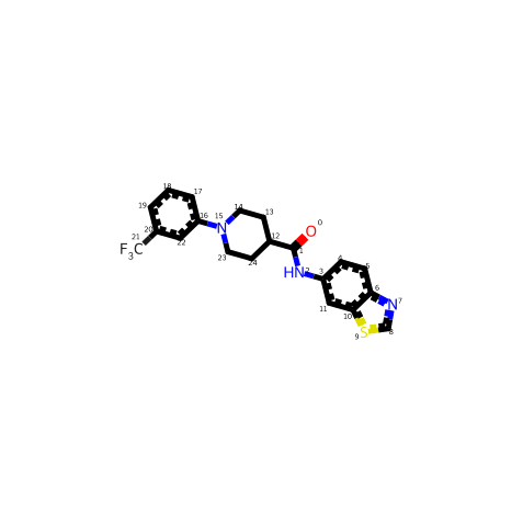 O=C(Nc1ccc2ncsc2c1)C1CCN(c2cccc(C(F)(F)F)c2)CC1